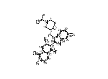 CC(=O)N1CCO[C@@H](Cc2c(-c3c(F)cc4c(=O)n(C)ccc4c3F)nc3cc(C)ccn23)C1